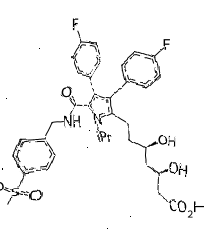 CC(C)n1c(CC[C@@H](O)C[C@@H](O)CC(=O)O)c(-c2ccc(F)cc2)c(-c2ccc(F)cc2)c1C(=O)NCc1ccc(S(C)(=O)=O)cc1